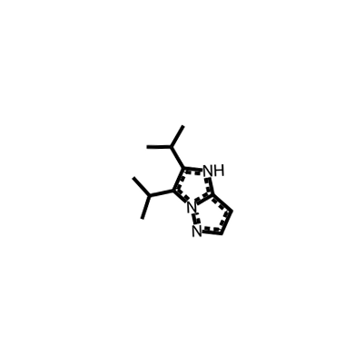 CC(C)c1[nH]c2ccnn2c1C(C)C